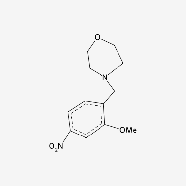 COc1cc([N+](=O)[O-])ccc1CN1CCOCC1